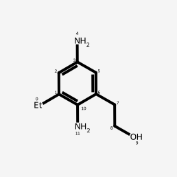 CCc1cc(N)cc(CCO)c1N